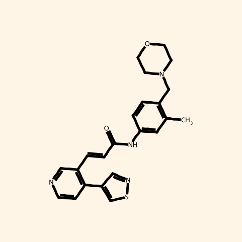 Cc1cc(NC(=O)/C=C/c2cnccc2-c2cnsc2)ccc1CN1CCOCC1